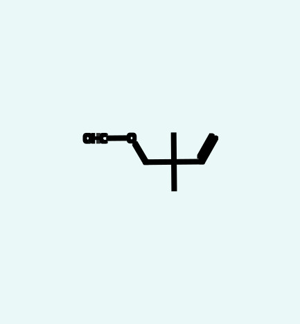 C=CC(C)(C)COC=O